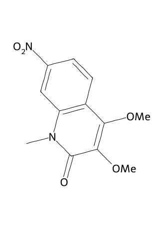 COc1c(OC)c2ccc([N+](=O)[O-])cc2n(C)c1=O